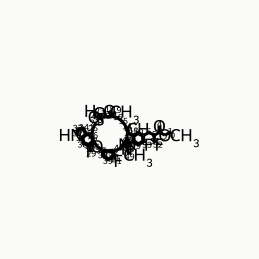 CCOC(=O)C(Cc1cccc(C2(C)CCCC(C)(C)CS(=O)(=O)CCc3c(c(F)cc4[nH]ccc34)Oc3ccc(F)c(c3)-c3nc2nn3C)c1)C(F)F